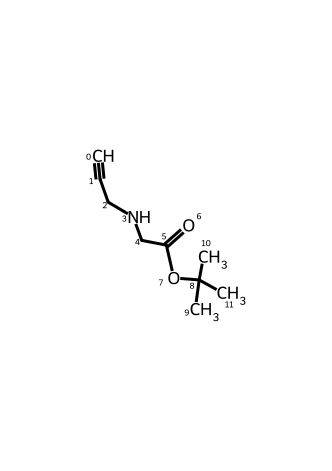 C#CCNCC(=O)OC(C)(C)C